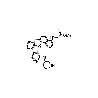 COC(=O)CNc1cccc2c(Oc3ncccc3-c3ccnc(NC4CCCNC4)n3)c(C)ccc12